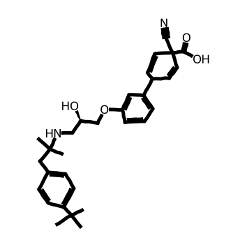 CC(C)(Cc1ccc(C(C)(C)C)cc1)NC[C@@H](O)COc1cccc(C2C=CC(C#N)(C(=O)O)C=C2)c1